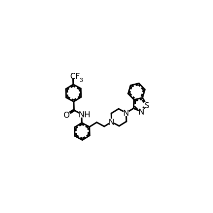 O=C(Nc1ccccc1CCN1CCN(c2nsc3ccccc23)CC1)c1ccc(C(F)(F)F)cc1